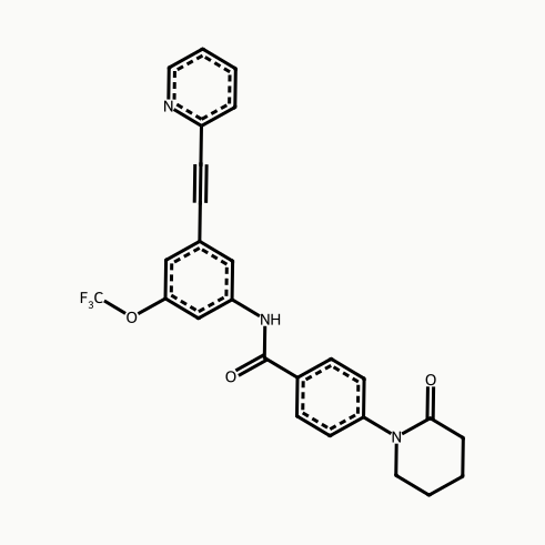 O=C(Nc1cc(C#Cc2ccccn2)cc(OC(F)(F)F)c1)c1ccc(N2CCCCC2=O)cc1